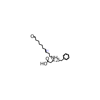 O=CCCCCC/C=C/CCN[C@H](CSCc1ccccc1)CC(=O)O